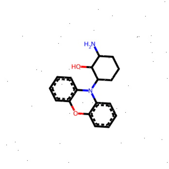 NC1CCCC(N2c3ccccc3Oc3ccccc32)C1O